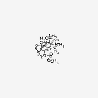 COC(=O)c1ccc2c(c1)C(C)(c1ccc3c(c1)C(C)(C)CCC3(C)C)CS2